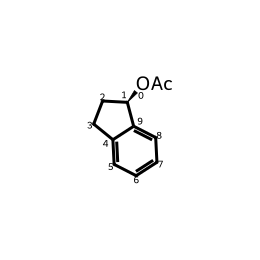 CC(=O)O[C@@H]1CCc2ccccc21